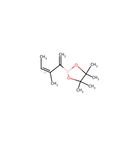 C=C(B1OC(C)(C)C(C)(C)O1)/C(C)=C\C